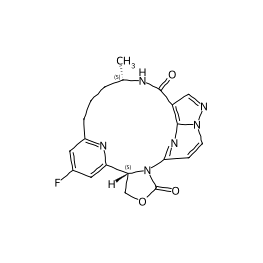 C[C@H]1CCCc2cc(F)cc(n2)[C@H]2COC(=O)N2c2ccn3ncc(c3n2)C(=O)N1